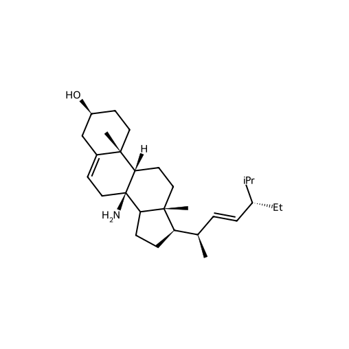 CC[C@H](/C=C/[C@@H](C)[C@H]1CCC2[C@]1(C)CC[C@H]1[C@@]3(C)CC[C@H](O)CC3=CC[C@@]21N)C(C)C